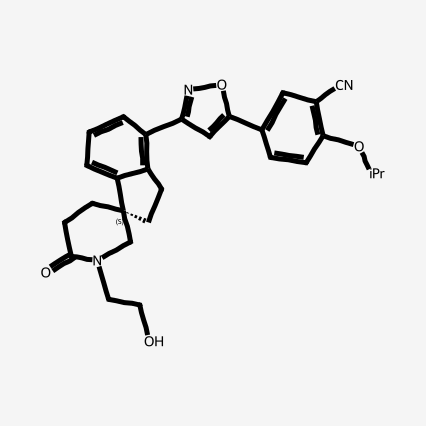 CC(C)Oc1ccc(-c2cc(-c3cccc4c3CC[C@]43CCC(=O)N(CCO)C3)no2)cc1C#N